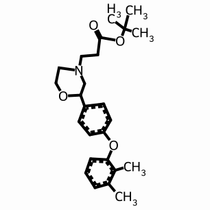 Cc1cccc(Oc2ccc(C3CN(CCC(=O)OC(C)(C)C)CCO3)cc2)c1C